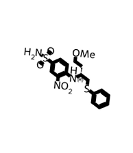 COCC[C@H](CSc1ccccc1)Nc1ccc(S(N)(=O)=O)cc1[N+](=O)[O-]